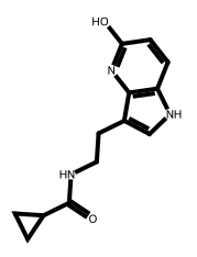 O=C(NCCc1c[nH]c2ccc(O)nc12)C1CC1